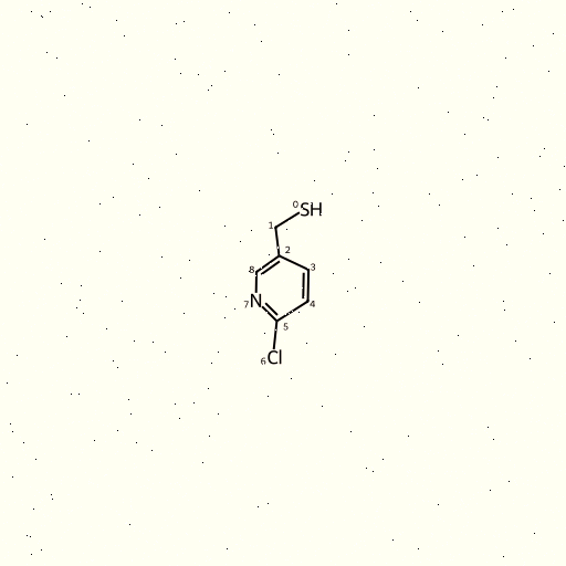 SCc1ccc(Cl)nc1